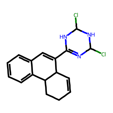 ClC1N=C(C2=Cc3ccccc3C3CCC=CC23)NC(Cl)N1